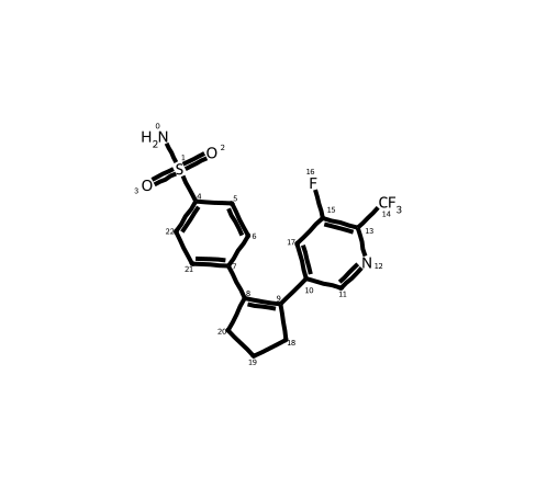 NS(=O)(=O)c1ccc(C2=C(c3cnc(C(F)(F)F)c(F)c3)CCC2)cc1